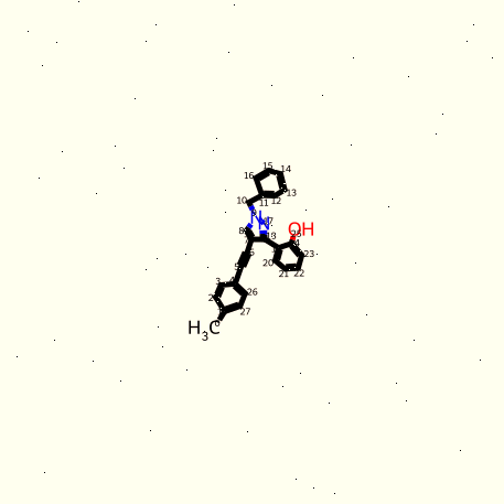 Cc1ccc(C#Cc2cn(Cc3ccccc3)nc2-c2ccccc2O)cc1